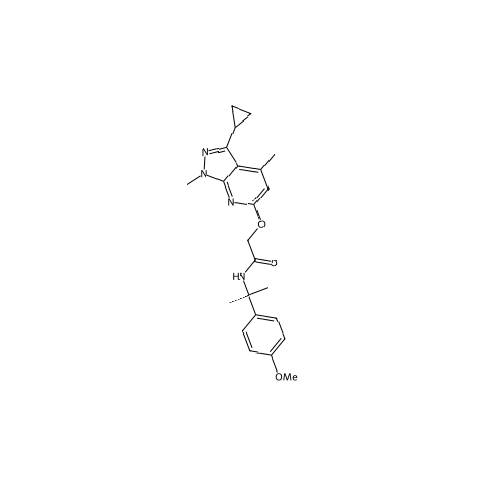 COc1ccc(C(C)(C)NC(=O)COc2cc(C)c3c(C4CC4)nn(C)c3n2)cc1